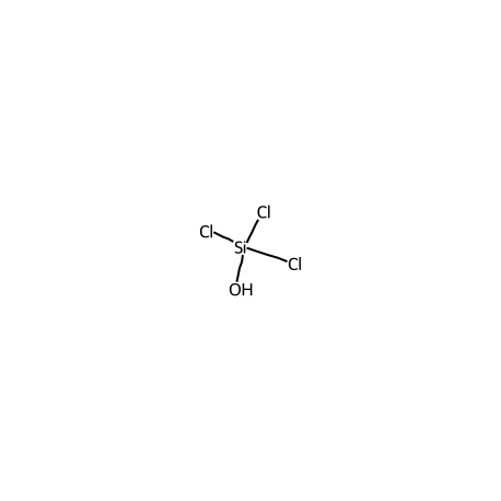 O[Si](Cl)(Cl)Cl